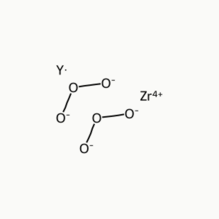 [O-]O[O-].[O-]O[O-].[Y].[Zr+4]